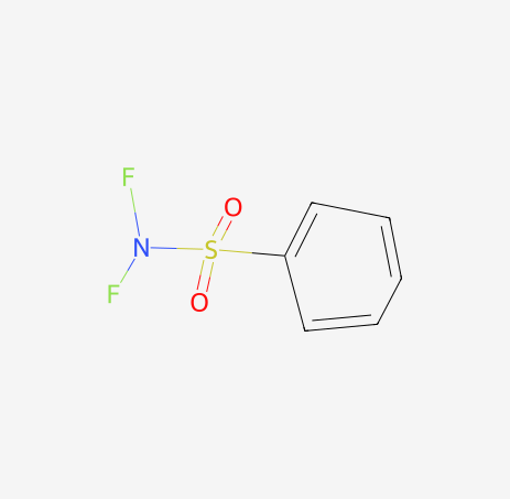 O=S(=O)(c1ccccc1)N(F)F